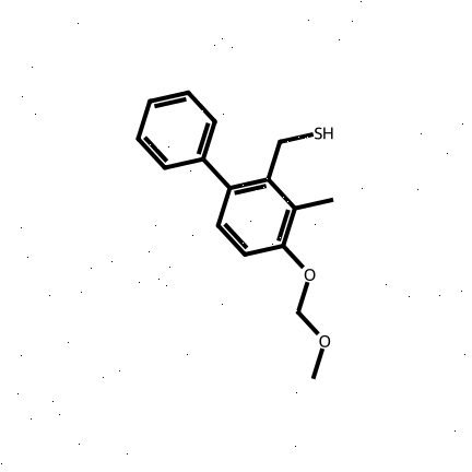 COCOc1ccc(-c2ccccc2)c(CS)c1C